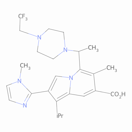 Cc1c(C(=O)O)cc2c(C(C)C)c(-c3nccn3C)cn2c1C(C)N1CCN(CC(F)(F)F)CC1